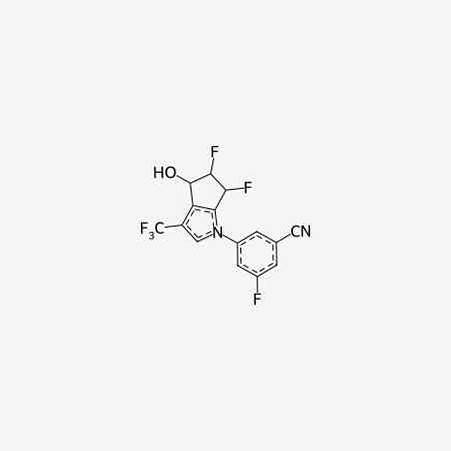 N#Cc1cc(F)cc(-n2cc(C(F)(F)F)c3c2C(F)C(F)C3O)c1